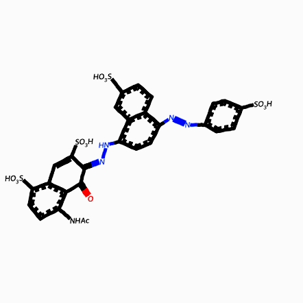 CC(=O)Nc1ccc(S(=O)(=O)O)c2c1C(=O)C(=NNc1ccc(N=Nc3ccc(S(=O)(=O)O)cc3)c3ccc(S(=O)(=O)O)cc13)C(S(=O)(=O)O)=C2